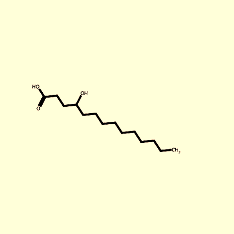 CCCCCCCCCCC(O)CCC(=O)O